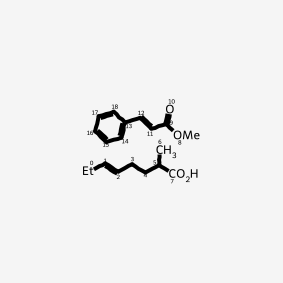 CCC=CCCC(C)C(=O)O.COC(=O)C=Cc1ccccc1